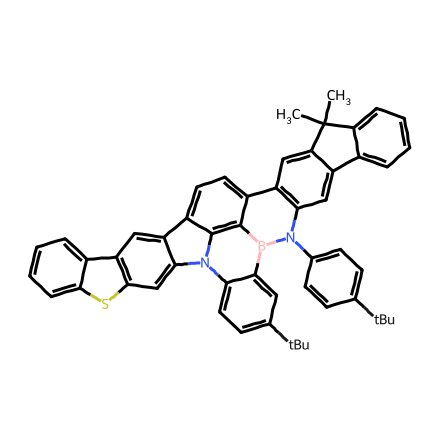 CC(C)(C)c1ccc(N2B3c4cc(C(C)(C)C)ccc4-n4c5cc6sc7ccccc7c6cc5c5ccc(c3c54)-c3cc4c(cc32)-c2ccccc2C4(C)C)cc1